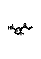 C=CC1OC1N1C[C@H](NC)CC[C@@H]1C